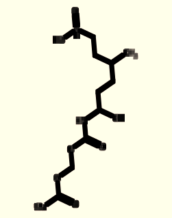 CC(CCC(O)NC(=O)OCOC(=O)C(C)(C)C)CC[PH](=O)O